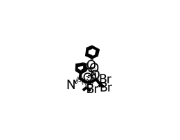 CCS(=O)(=O)O[C@H]([C@H]1[C@@H]([C@H](C#N)c2cccc(Oc3ccccc3)c2)C1(C)C)C(Br)(Br)Br